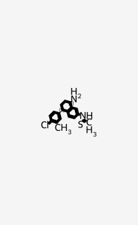 CC(=S)Nc1ccc2c(c1)[C@@H](N)CC[C@H]2c1ccc(Cl)c(C)c1